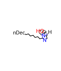 CCCCCCCCCCCCCCCCCC1=NCC[N+]1(CC(=O)O)C(C)O